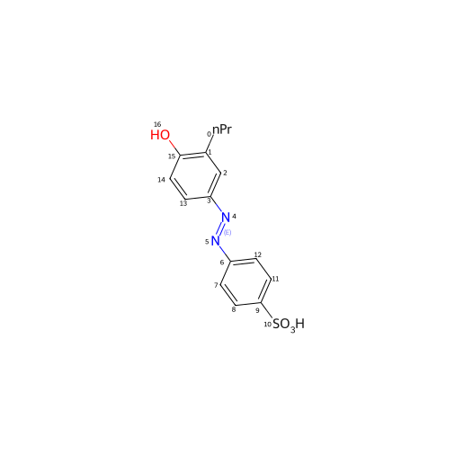 CCCc1cc(/N=N/c2ccc(S(=O)(=O)O)cc2)ccc1O